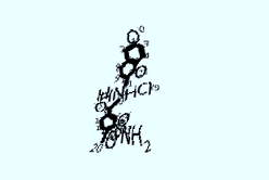 COc1ccc2c(c1)CCC(CNCC(O)c1ccc(C)c(S(N)(=O)=O)c1)C2=O.Cl